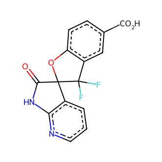 O=C(O)c1ccc2c(c1)C(F)(F)C1(O2)C(=O)Nc2ncccc21